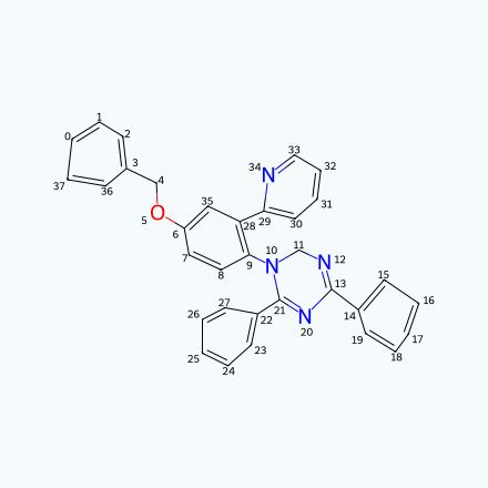 c1ccc(COc2ccc(N3CN=C(c4ccccc4)N=C3c3ccccc3)c(-c3ccccn3)c2)cc1